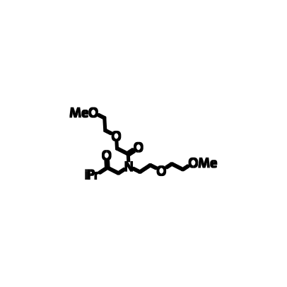 COCCOCCN(CC(=O)C(C)C)C(=O)COCCOC